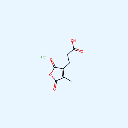 CC1=C(CCC(=O)O)C(=O)OC1=O.Cl